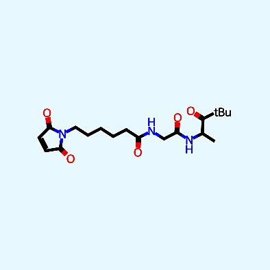 CC(NC(=O)CNC(=O)CCCCCN1C(=O)C=CC1=O)C(=O)C(C)(C)C